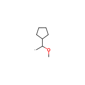 [CH2]C(OC)C1CCCC1